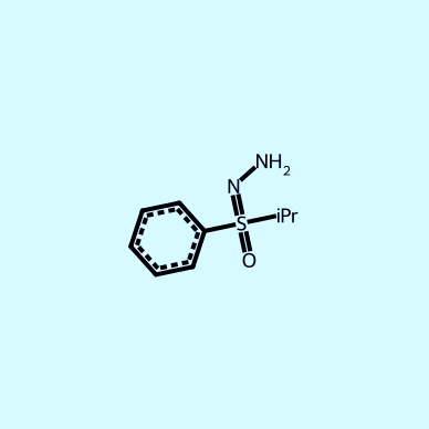 CC(C)S(=O)(=NN)c1ccccc1